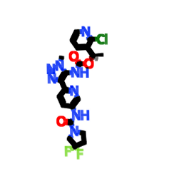 C[C@@H](OC(=O)Nc1c(-c2ccc(NC(=O)N3CCC(F)(F)C3)cn2)nnn1C)c1cccnc1Cl